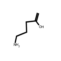 C=C(O)CCCN